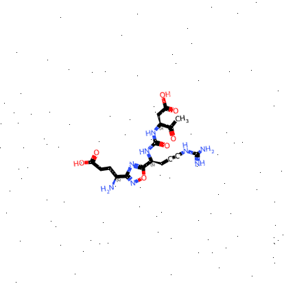 CC(=O)[C@H](CC(=O)O)NC(=O)N[C@@H](CCCNC(=N)N)c1nc([C@@H](N)CCC(=O)O)no1